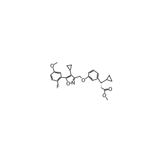 COC(=O)C[C@H](c1cccc(OCc2noc(-c3cc(OC)ccc3F)c2C2CC2)c1)C1CC1